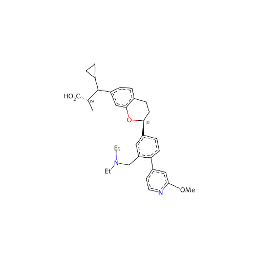 CCN(CC)Cc1cc([C@@H]2CCc3ccc(C(C4CC4)[C@H](C)C(=O)O)cc3O2)ccc1-c1ccnc(OC)c1